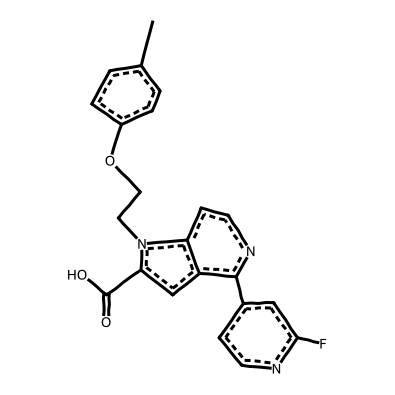 Cc1ccc(OCCn2c(C(=O)O)cc3c(-c4ccnc(F)c4)nccc32)cc1